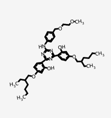 CCCCC(CC)COc1ccc(-c2nc(Nc3ccc(COCCOC)cc3)nc(-c3ccc(OCC(CC)CCCC)cc3O)n2)c(O)c1